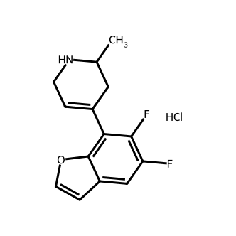 CC1CC(c2c(F)c(F)cc3ccoc23)=CCN1.Cl